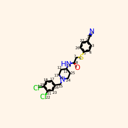 N#Cc1ccc(SCC(=O)NC2CCN(Cc3ccc(Cl)c(Cl)c3)CC2)cc1